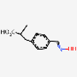 CC(Cc1ccc(/C=N/O)cc1)C(=O)O